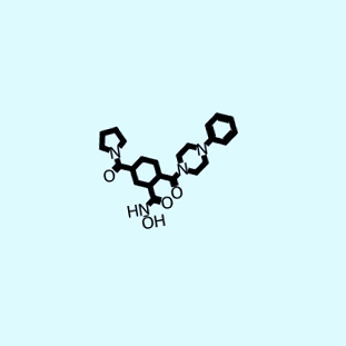 O=C(NO)C1CC(C(=O)N2CCCC2)CCC1C(=O)N1CCN(c2ccccc2)CC1